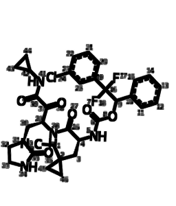 CCC1(C[C@H](NC(=O)OC(c2ccccc2)C(F)(F)c2cccc(Cl)c2)C(=O)N[C@@H](C[C@@H]2CCNC2=O)C(=O)C(=O)NC2CC2)CC1